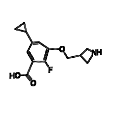 O=C(O)c1cc(C2CC2)cc(OCC2CNC2)c1F